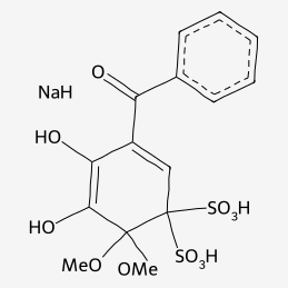 COC1(OC)C(O)=C(O)C(C(=O)c2ccccc2)=CC1(S(=O)(=O)O)S(=O)(=O)O.[NaH]